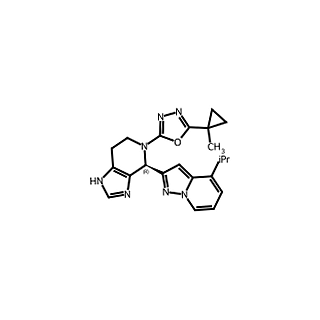 CC(C)c1cccn2nc([C@H]3c4nc[nH]c4CCN3c3nnc(C4(C)CC4)o3)cc12